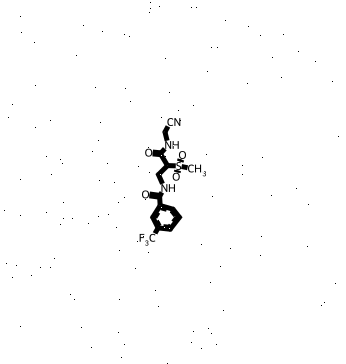 CS(=O)(=O)C(CNC(=O)c1cccc(C(F)(F)F)c1)C(=O)NCC#N